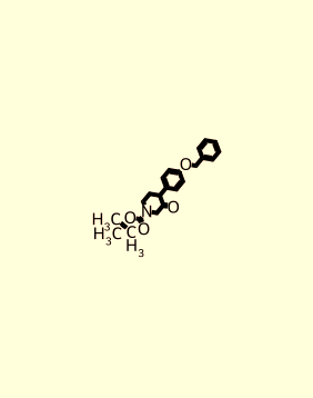 CC(C)(C)OC(=O)N1CCC(c2ccc(OCc3ccccc3)cc2)C(=O)C1